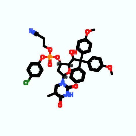 COc1ccc(C(c2ccccc2)(c2ccc(OC)cc2)C(O)[C@H]2O[C@@H](n3cc(C)c(=O)[nH]c3=O)C[C@@H]2OP(=O)(OCCC#N)Oc2ccc(Cl)cc2)cc1